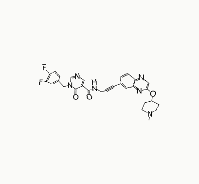 CN1CCC(Oc2cnc3ccc(C#CCNC(=O)c4cncn(Cc5ccc(F)c(F)c5)c4=O)cc3n2)CC1